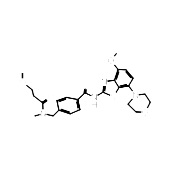 COCCC(=O)N(C)Cc1ccc(C(=O)Nc2nc3c(OC)ccc(N4CCOCC4)c3s2)cc1